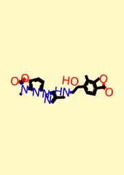 Cc1c(C(O)CNCc2cnn(-c3ccc4oc(=O)n(C)c4n3)c2)ccc2c1COC2=O